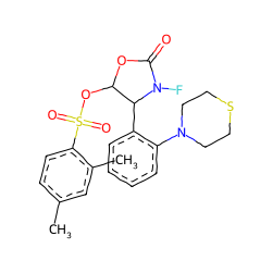 Cc1ccc(S(=O)(=O)OC2OC(=O)N(F)C2c2ccccc2N2CCSCC2)c(C)c1